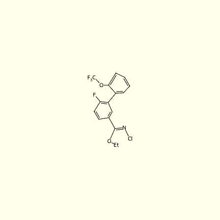 CCO/C(=N\Cl)c1ccc(F)c(-c2ccccc2OC(F)(F)F)c1